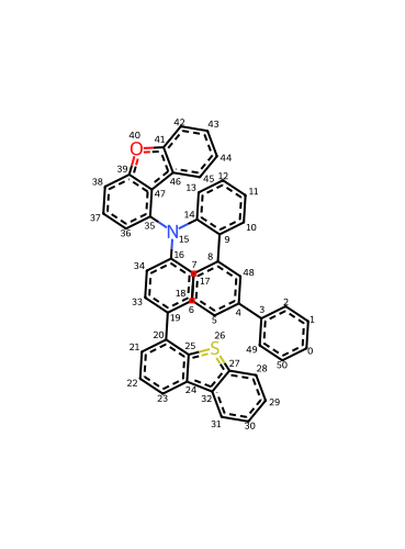 c1ccc(-c2cccc(-c3ccccc3N(c3ccc(-c4cccc5c4sc4ccccc45)cc3)c3cccc4oc5ccccc5c34)c2)cc1